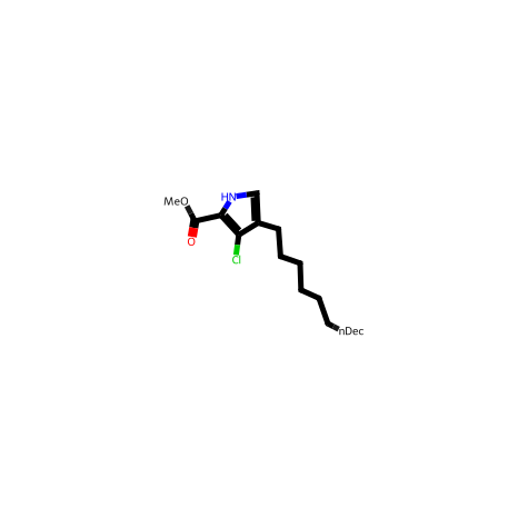 CCCCCCCCCCCCCCCCc1c[nH]c(C(=O)OC)c1Cl